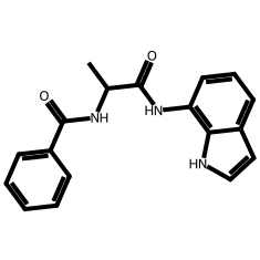 CC(NC(=O)c1ccccc1)C(=O)Nc1cccc2cc[nH]c12